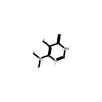 C=C1NC=NC(N(C)C)=C1C